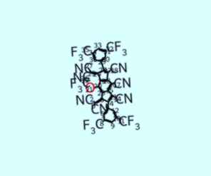 N#CC(C#N)=C1C(c2cc(C(F)(F)F)cc(C(F)(F)F)c2)=C(C#N)c2c(C#N)c3c(c(OC(F)(F)F)c21)C(=C(C#N)C#N)C(c1cc(C(F)(F)F)cc(C(F)(F)F)c1)=C3C#N